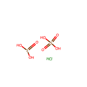 Cl.O=S(=O)(O)O.O=S(O)O